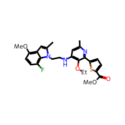 CCOc1c(NCCn2c(C)cc3c(OC)ccc(F)c32)cc(C)nc1-c1ccc(C(=O)OC)s1